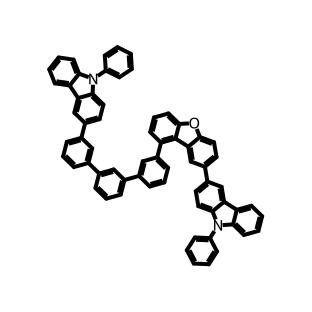 c1ccc(-n2c3ccccc3c3cc(-c4cccc(-c5cccc(-c6cccc(-c7cccc8oc9ccc(-c%10ccc%11c(c%10)c%10ccccc%10n%11-c%10ccccc%10)cc9c78)c6)c5)c4)ccc32)cc1